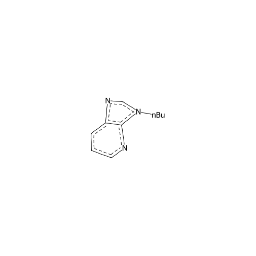 [CH2]CCCn1cnc2cccnc21